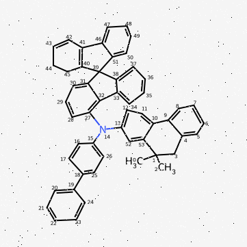 CC1(C)Cc2ccccc2-c2ccc(N(c3ccc(-c4ccccc4)cc3)c3cccc4c3-c3ccccc3C43C4=C(C=CCC4)c4ccccc43)cc21